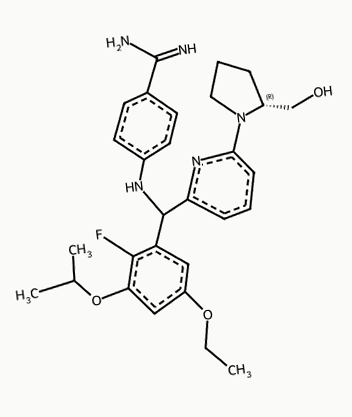 CCOc1cc(OC(C)C)c(F)c(C(Nc2ccc(C(=N)N)cc2)c2cccc(N3CCC[C@@H]3CO)n2)c1